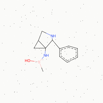 CB(O)NC12CC1CNC2c1ccccc1